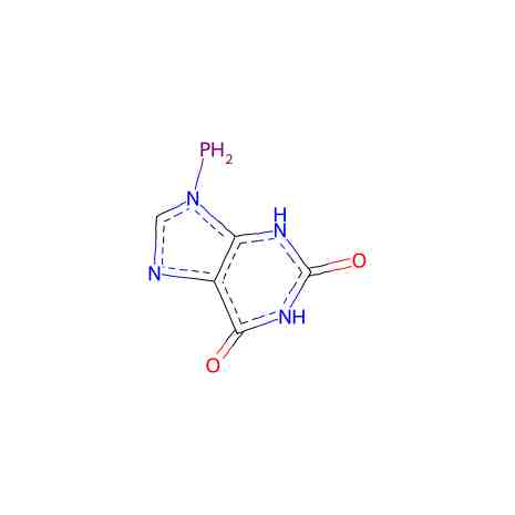 O=c1[nH]c(=O)c2ncn(P)c2[nH]1